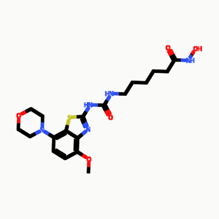 COc1ccc(N2CCOCC2)c2sc(NC(=O)NCCCCCC(=O)NO)nc12